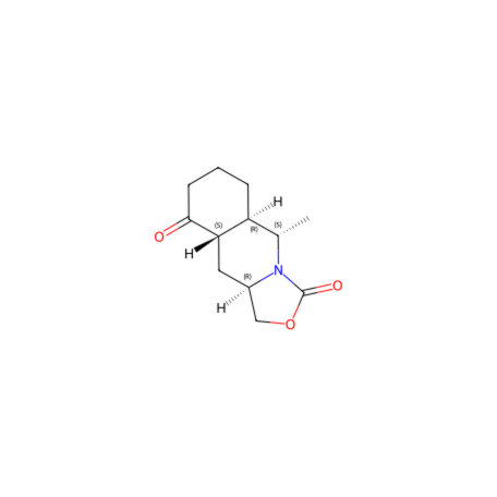 C[C@H]1[C@@H]2CCCC(=O)[C@H]2C[C@@H]2COC(=O)N21